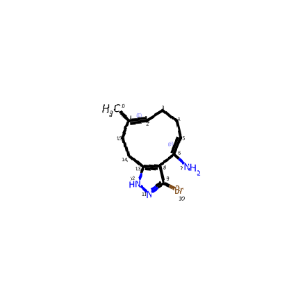 C/C1=C\CC/C=C(/N)c2c(Br)n[nH]c2CC1